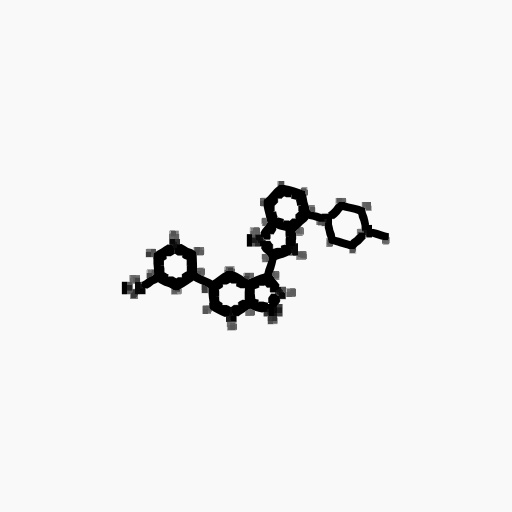 CN1CCN(c2cccc3[nH]c(-c4n[nH]c5ncc(-c6cncc(N)c6)cc45)nc23)CC1